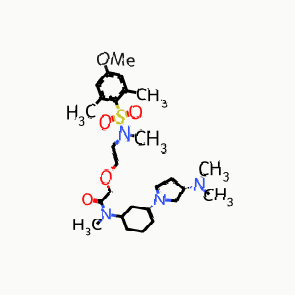 COc1cc(C)c(S(=O)(=O)N(C)CCOCC(=O)N(C)C2CCC[C@@H](N3CC[C@H](N(C)C)C3)C2)c(C)c1